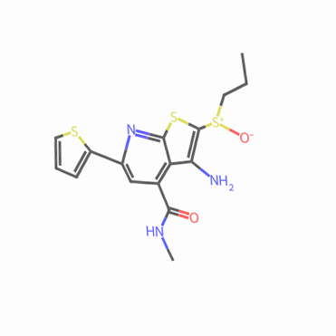 CCC[S+]([O-])c1sc2nc(-c3cccs3)cc(C(=O)NC)c2c1N